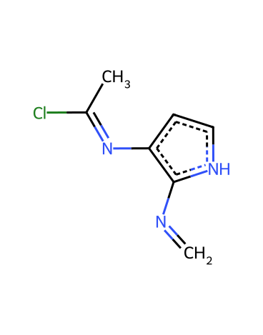 C=Nc1[nH]ccc1/N=C(\C)Cl